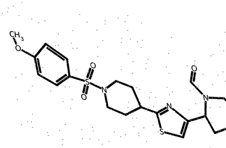 COc1ccc(S(=O)(=O)N2CCC(c3nc(C4CCCCN4C=O)cs3)CC2)cc1